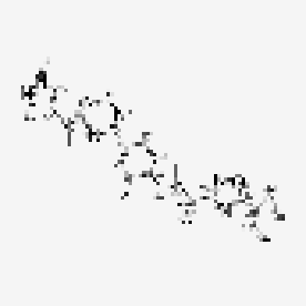 Cc1cc(-c2ncnc(Nc3cnn(C)c3)n2)ccc1CNC(=O)c1noc(C2(CF)CC2)n1